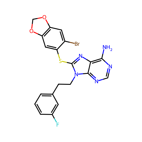 Nc1ncnc2c1nc(Sc1cc3c(cc1Br)OCO3)n2CCc1cccc(F)c1